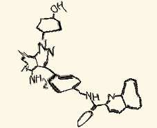 Nc1ncnc2c1c(-c1ccc(CNC(=O)c3ccc4ccccc4n3)cc1)nn2C1CCC(O)C1